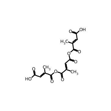 C/C(=C\C(=O)O)C(=O)OC(=O)/C=C(\C)C(=O)OC(=O)/C(C)=C/C(=O)O